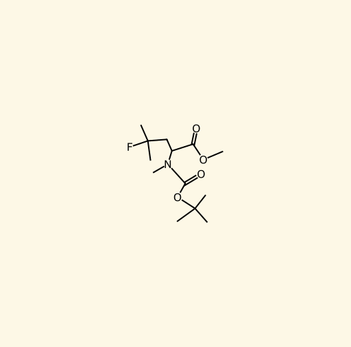 COC(=O)C(CC(C)(C)F)N(C)C(=O)OC(C)(C)C